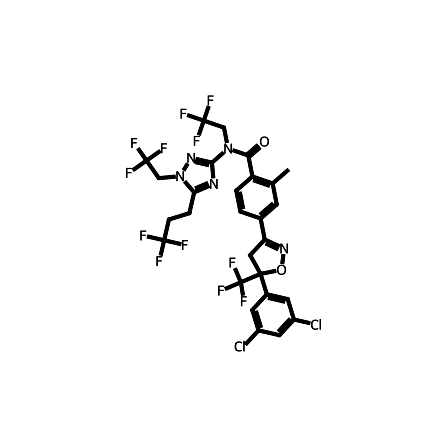 Cc1cc(C2=NOC(c3cc(Cl)cc(Cl)c3)(C(F)(F)F)C2)ccc1C(=O)N(CC(F)(F)F)c1nc(CCC(F)(F)F)n(CC(F)(F)F)n1